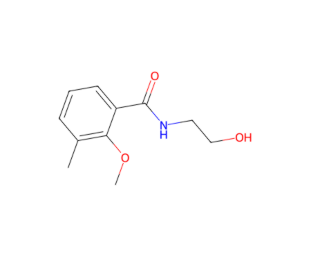 COc1c(C)cccc1C(=O)NCCO